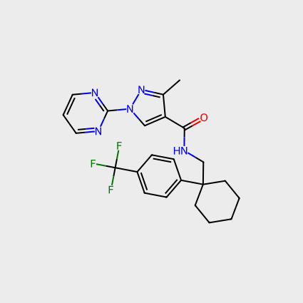 Cc1nn(-c2ncccn2)cc1C(=O)NCC1(c2ccc(C(F)(F)F)cc2)CCCCC1